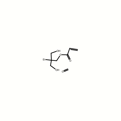 C=CC(=O)OCC(CC)(CO)CO.C=O